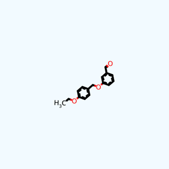 CCOc1ccc(COc2cccc(C=O)c2)cc1